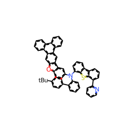 CC(C)(C)c1ccc(-c2ccccc2N(c2ccc3oc4cc5c6ccccc6c6ccccc6c5cc4c3c2)c2cccc3c2sc2c(-c4ccccn4)cccc23)cc1